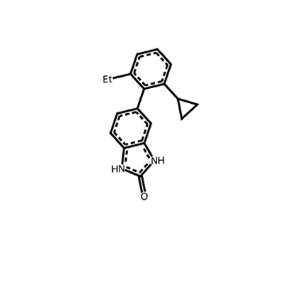 CCc1cccc(C2CC2)c1-c1ccc2[nH]c(=O)[nH]c2c1